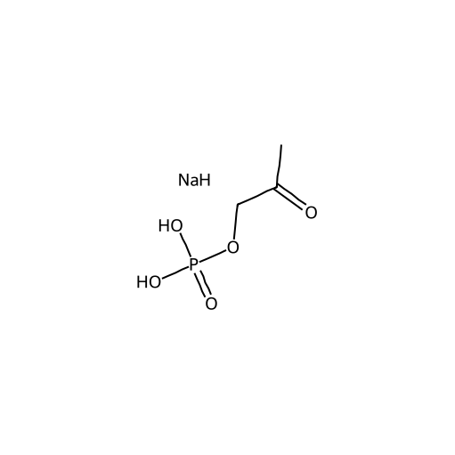 CC(=O)COP(=O)(O)O.[NaH]